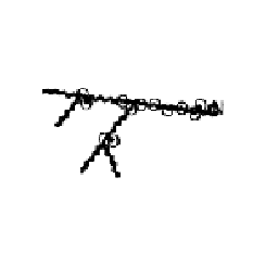 CCCCCCCCC(CCCCCCCC)OC(=O)CCCCCCCOCC(COCCOCCOCCOCCOC(=O)CC1CCN(C)CC1)OCCCCCCCC(=O)OC(CCCCCCCC)CCCCCCCC